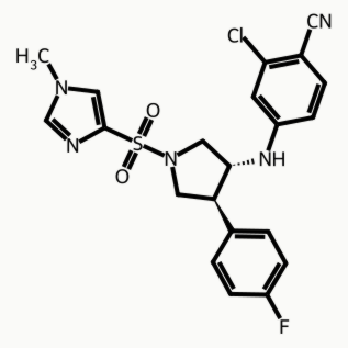 Cn1cnc(S(=O)(=O)N2C[C@H](Nc3ccc(C#N)c(Cl)c3)[C@@H](c3ccc(F)cc3)C2)c1